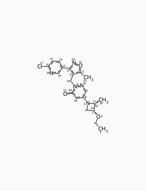 CCO[C@H]1CN(c2cnn(Cc3c(-c4ccc(Cl)nc4)noc3C)c(=O)c2)[C@H]1C